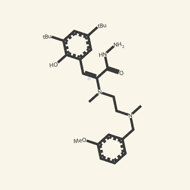 COc1cccc(CN(C)CCN(C)/C(=C/c2cc(C(C)(C)C)cc(C(C)(C)C)c2O)C(=O)NN)c1